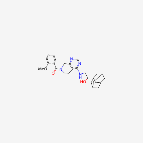 COc1ccccc1C(=O)N1CCc2c(ncnc2NCC(O)C23CC4CC(CC(C4)C2)C3)C1